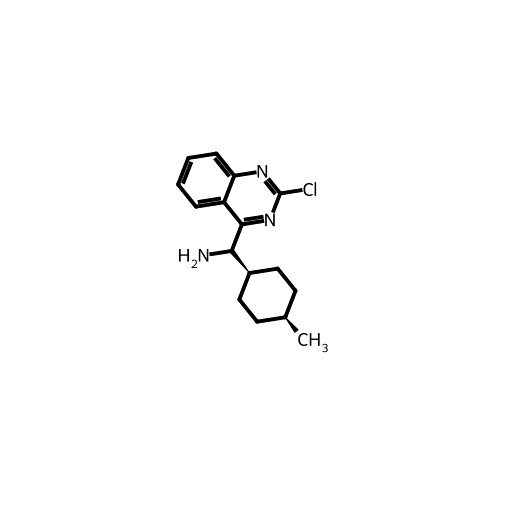 C[C@H]1CC[C@@H](C(N)c2nc(Cl)nc3ccccc23)CC1